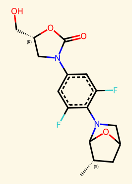 C[C@H]1CC2CN(c3c(F)cc(N4C[C@H](CO)OC4=O)cc3F)C1O2